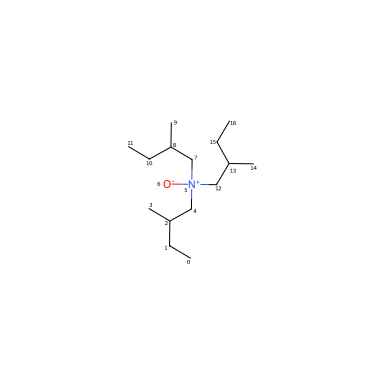 CCC(C)C[N+]([O-])(CC(C)CC)CC(C)CC